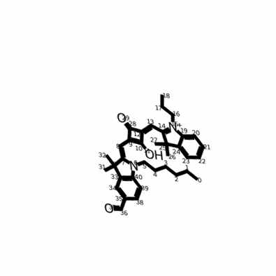 CCCCCCN1C(=CC2=C(O)C(=CC3=[N+](CCC)c4ccccc4C3(C)C)C2=O)C(C)(C)c2cc(C=O)ccc21